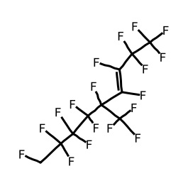 FCC(F)(F)C(F)(F)C(F)(F)C(F)(C(F)=C(F)C(F)(F)C(F)(F)F)C(F)(F)F